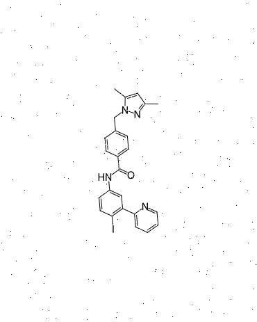 Cc1cc(C)n(Cc2ccc(C(=O)Nc3ccc(I)c(-c4ccccn4)c3)cc2)n1